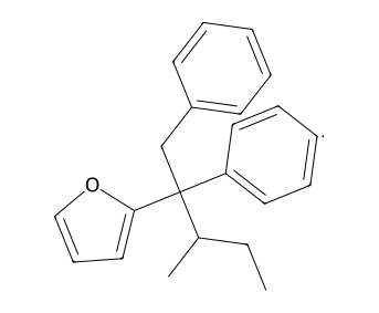 CCC(C)C(Cc1ccccc1)(c1cc[c]cc1)c1ccco1